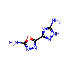 Nc1nc(-c2nnc(N)o2)n[nH]1